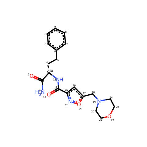 NC(=O)[C@H](CCc1ccccc1)NC(=O)c1cc(CN2CCOCC2)on1